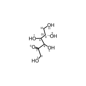 O=C(CO)C(O)C(O)[C@@H](O)CO